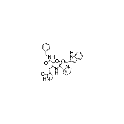 O=C(NCc1ccccc1)C(=O)[C@H](C[C@@H]1CCNC1=O)NC(=O)[C@@H]1CCCCN1C(=O)c1cc2ccccc2[nH]1